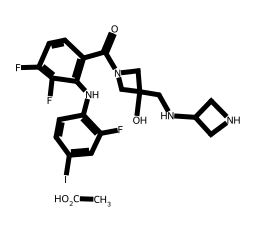 CC(=O)O.O=C(c1ccc(F)c(F)c1Nc1ccc(I)cc1F)N1CC(O)(CNC2CNC2)C1